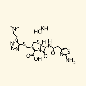 CN(C)CCn1nnnc1SCC1=C(C(=O)O)N2C(=O)[C@@H](NC(=O)Cc3csc(N)n3)[C@H]2SC1.Cl.[KH]